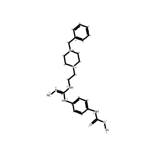 CC(C)OC(=O)Nc1ccc(N/C(=N\C#N)NCCN2CCN(Cc3ccccc3)CC2)cc1